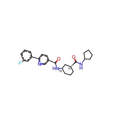 O=C(N[C@@H]1CCC[C@H](C(=O)NC2CCCC2)C1)c1ccc(-c2cccc(F)c2)nc1